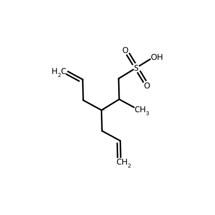 C=CC[C](CC=C)C(C)CS(=O)(=O)O